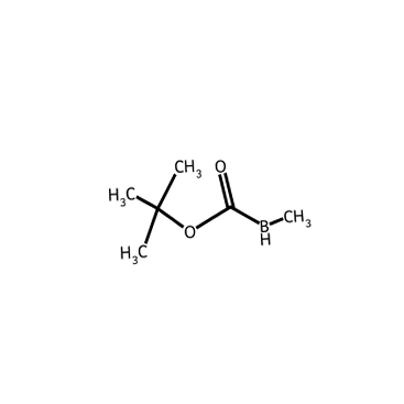 CBC(=O)OC(C)(C)C